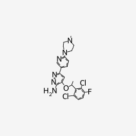 CC(Oc1cc(-c2ccc(N3CCN(C)CC3)nc2)nnc1N)c1c(Cl)ccc(F)c1Cl